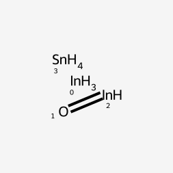 [InH3].[O]=[InH].[SnH4]